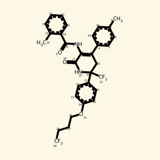 Cc1ccc(C2=C(NC(=O)c3ccccc3C)C(=O)NC(c3ccc(OCCCC(F)(F)F)cc3)(C(F)(F)F)C2)cc1